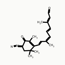 CC1=C(/C=C/C(C)=C\C=C\C(C)=C\C=O)C(C)(C)CC(=[N+]=[N-])C1=O